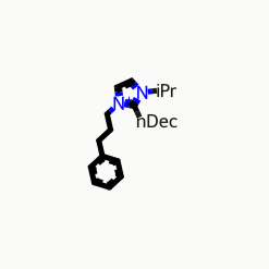 CCCCCCCCCCc1n(C(C)C)cc[n+]1CCCc1ccccc1